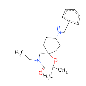 CCN1C[C@]2(CC[C@@H](NCc3ccccc3)CC2)OC(C)(C)C1=O